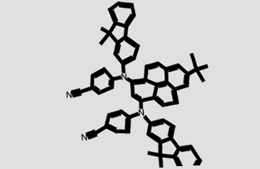 CC(C)(C)c1cc2ccc3c(N(c4ccc(C#N)cc4)c4ccc5c(c4)C(C)(C)c4ccccc4-5)cc(N(c4ccc(C#N)cc4)c4ccc5c(c4)C(C)(C)c4ccccc4-5)c4ccc(c1)c2c34